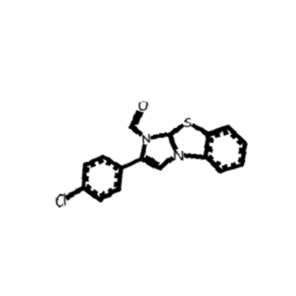 O=CN1C(c2ccc(Cl)cc2)=CN2c3ccccc3SC12